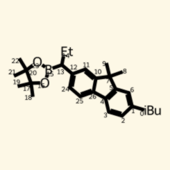 CCC(C)c1ccc2c(c1)C(C)(C)c1cc(C(CC)B3OC(C)(C)C(C)(C)O3)ccc1-2